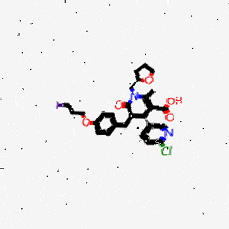 CC1=C(C(=O)O)[C@H](c2ccc(Cl)nc2)C(Cc2ccc(OCCCI)cc2)C(=O)N1C[C@H]1CCCO1